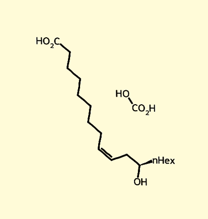 CCCCCC[C@@H](O)C/C=C\CCCCCCCC(=O)O.O=C(O)O